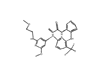 C=CC(=O)Nc1ccccc1Nc1nc(Nc2cc(NCCOC)nc(OC)c2)ncc1C(F)(F)F